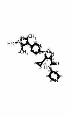 Cc1nn(C)c(C)c1-c1ccc(-n2nnc(C(=O)Nc3ccncc3)c2C2CC2)nc1